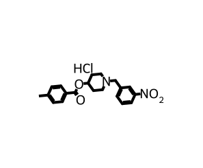 Cc1ccc(C(=O)OC2CCN(Cc3cccc([N+](=O)[O-])c3)CC2)cc1.Cl